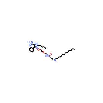 CCCCCCCCCCCCN(C)CCCC(=O)NCCOCCOn1c(CCCC)nc2c(N)nc3ccccc3c21